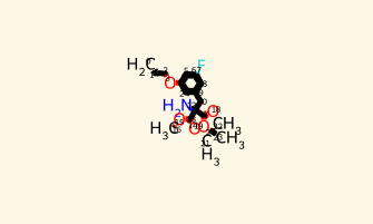 C=CCOc1cc(F)cc(CC(N)(C(=O)OC)C(=O)OC(C)(C)C)c1